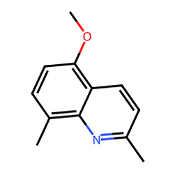 COc1ccc(C)c2nc(C)ccc12